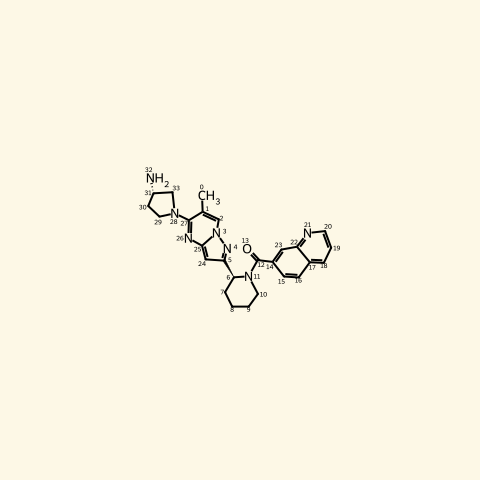 Cc1cn2nc([C@@H]3CCCCN3C(=O)c3ccc4cccnc4c3)cc2nc1N1CC[C@H](N)C1